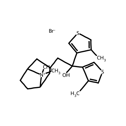 Cc1cscc1C(O)(CC1CC2CCC(C1)[N+]2(C)C)c1cscc1C.[Br-]